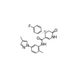 Cc1cnn(-c2ccc(C)c(NC(=O)C3=CNC(=O)C[C@H]3c3ccc(F)cc3)c2)c1